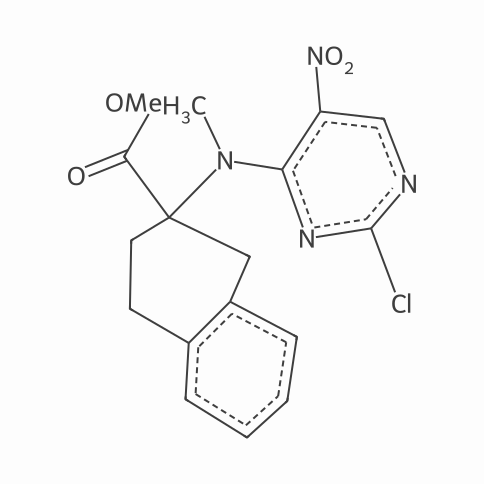 COC(=O)C1(N(C)c2nc(Cl)ncc2[N+](=O)[O-])CCc2ccccc2C1